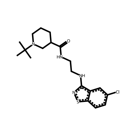 CC(C)(C)N1CCCC(C(=O)NCCNc2nsc3ccc(Cl)cc23)C1